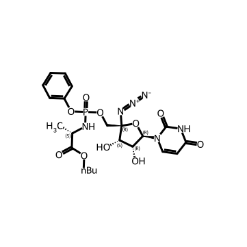 CCCCOC(=O)[C@H](C)NP(=O)(OC[C@@]1(N=[N+]=[N-])O[C@@H](n2ccc(=O)[nH]c2=O)[C@H](O)[C@@H]1O)Oc1ccccc1